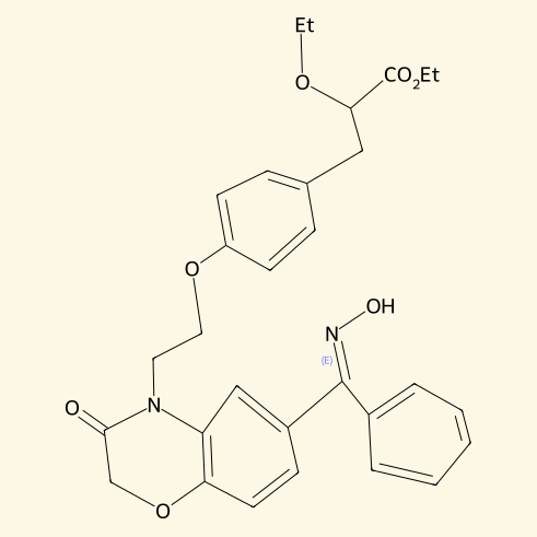 CCOC(=O)C(Cc1ccc(OCCN2C(=O)COc3ccc(/C(=N/O)c4ccccc4)cc32)cc1)OCC